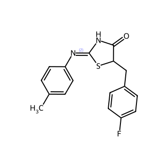 Cc1ccc(/N=C2/NC(=O)C(Cc3ccc(F)cc3)S2)cc1